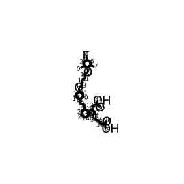 Cc1cc(F)cc(C)c1OCCCCOc1ccc(/C=C/c2cccc3c2c(CC(=O)O)cn3CCCC(=O)O)cc1